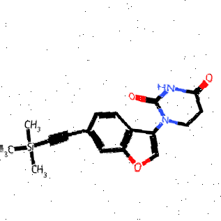 C[Si](C)(C)C#Cc1ccc2c(N3CCC(=O)NC3=O)coc2c1